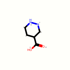 O=C(O)C1CCN[N]C1